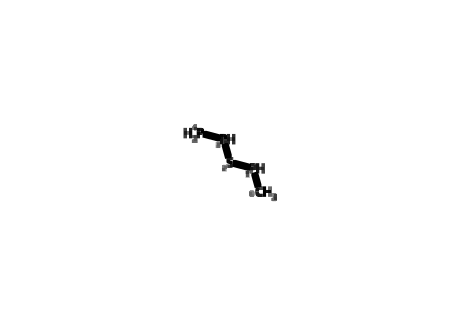 CPSBP